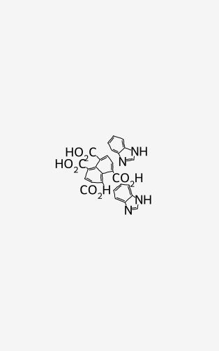 O=C(O)c1ccc(C(=O)O)c2c(C(=O)O)ccc(C(=O)O)c12.c1ccc2[nH]cnc2c1.c1ccc2[nH]cnc2c1